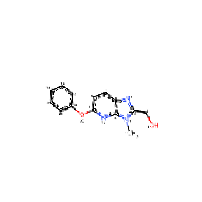 Cn1c(CO)nc2ccc(Oc3ccccc3)nc21